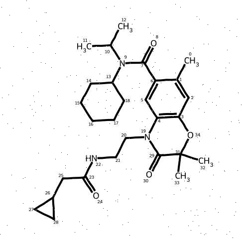 Cc1cc2c(cc1C(=O)N(C(C)C)C1CCCCC1)N(CCNC(=O)CC1CC1)C(=O)C(C)(C)O2